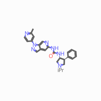 Cc1cc(-n2ncc3cc(NC(=O)N[C@H]4CN(C(C)C)C[C@@H]4c4ccccc4)ncc32)ccn1